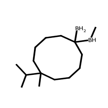 BC1(BC)CCCCC(C)(C(C)C)CCCC1